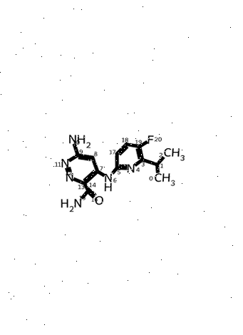 CC(C)c1nc(Nc2cc(N)nnc2C(N)=O)ccc1F